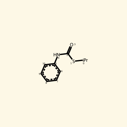 CC(C)SC(=O)Nc1ccccc1